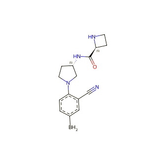 Bc1ccc(N2CC[C@H](NC(=O)[C@@H]3CCN3)C2)c(C#N)c1